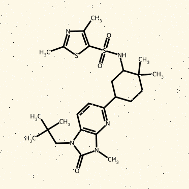 Cc1nc(C)c(S(=O)(=O)NC2CC(c3ccc4c(n3)n(C)c(=O)n4CC(C)(C)C)CCC2(C)C)s1